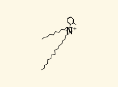 CCCCCCCCCCCCCCCC[N+](C)(C)C(C)(CCCCCCCCCC)c1ccccc1C